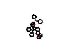 C1=CC(N(c2ccccc2)c2ccc(-c3ccccc3C3(c4ccccc4)c4ccccc4C4(c5ccccc5)c5ccccc5-c5cccc3c54)cc2)=CCC1